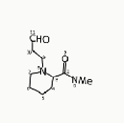 CNC(=O)C1CCCCN1CCC=O